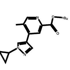 CCCCOC(=O)c1cc(-c2cnn(C3CC3)c2)c(C)cn1